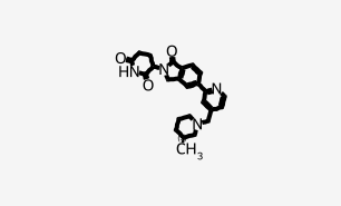 C[C@H]1CCCN(Cc2ccnc(-c3ccc4c(c3)CN(C3CCC(=O)NC3=O)C4=O)c2)C1